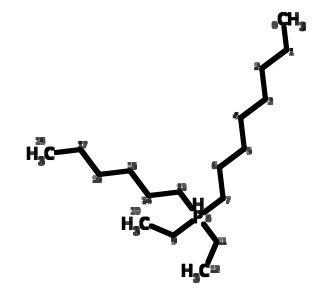 CCCCCCCC[PH](CC)(CC)CCCCCC